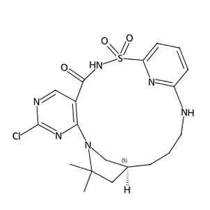 CC1(C)C[C@@H]2CCCNc3cccc(n3)S(=O)(=O)NC(=O)c3cnc(Cl)nc3N1C2